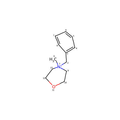 C[N+]1(Cc2ccccc2)CCOCC1